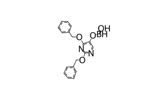 OBOc1cnc(OCc2ccccc2)nc1OCc1ccccc1